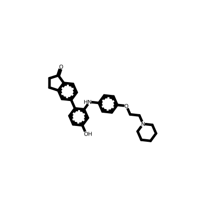 O=C1CCc2cc(-c3ccc(O)cc3Nc3ccc(OCCN4CCCCC4)cc3)ccc21